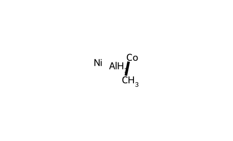 [AlH3].[CH3][Co].[Ni]